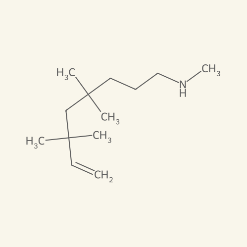 C=CC(C)(C)CC(C)(C)CCCNC